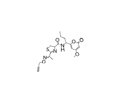 C#CCO/N=C(\C)C1=NC(C(=O)NC(CCC)c2cc(OC)cc(=O)o2)CS1